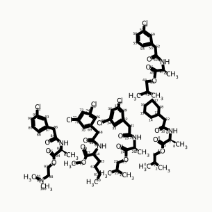 CC(C)COC(=O)[C@H](C)NC(=O)CC1CCCCC1.CC(C)COC(=O)[C@H](C)NC(=O)Cc1cc(Cl)cc(Cl)c1.CC(C)COC(=O)[C@H](C)NC(=O)Cc1cccc(Cl)c1.CCCCC(NC(=O)Cc1cc(Cl)cc(Cl)c1)C(=O)OC.C[C@H](NC(=O)Cc1cccc(Cl)c1)C(=O)OCCN(C)C